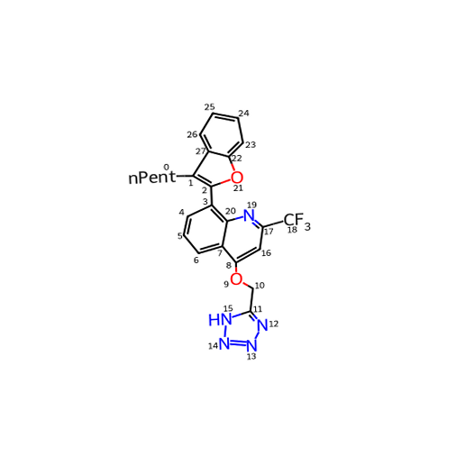 CCCCCc1c(-c2cccc3c(OCc4nnn[nH]4)cc(C(F)(F)F)nc23)oc2ccccc12